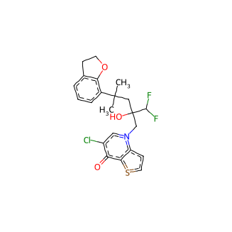 CC(C)(CC(O)(Cn1cc(Cl)c(=O)c2sccc21)C(F)F)c1cccc2c1OCC2